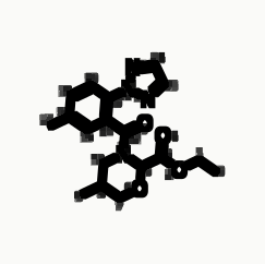 CCOC(=O)C1OCC(C)CN1C(=O)c1cc(C)ccc1-n1nccn1